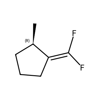 C[C@@H]1CCCC1=C(F)F